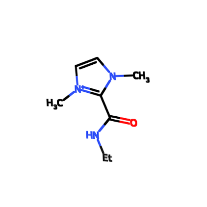 CCNC(=O)c1n(C)cc[n+]1C